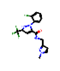 Cn1ccc(CNC(=O)C2=CC(C(F)(F)F)NN2c2ccccc2Cl)n1